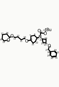 CC(C)(C)OC(=O)N(C1CCC(OCCCCOC2CCCCO2)CC1)[C@H]1C[C@@H](OCc2ccccc2)C1